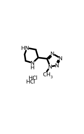 Cl.Cl.Cn1nnnc1C1CNCCN1